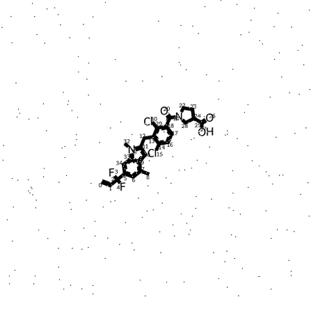 C=CC(F)(F)c1cc(C)c2cc(Cc3c(Cl)ccc(C(=O)N4CCC(C(=O)O)C4)c3Cl)n(C)c2c1